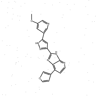 COc1cncc(-c2cc(-c3nc4c(-c5ccoc5)ccnc4[nH]3)n[nH]2)c1